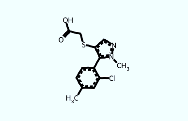 Cc1ccc(-c2c(SCC(=O)O)cnn2C)c(Cl)c1